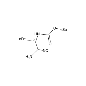 CCC[C@H](NC(=O)OC(C)(C)C)C(N)N=O